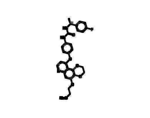 COCCOc1cc2nccc(Oc3ccc(NC(=O)N[C@@H](C)c4ccc(F)cc4)cc3)c2c2c1OCCO2